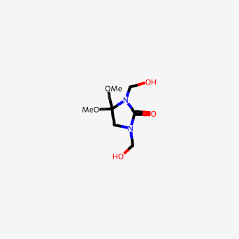 COC1(OC)CN(CO)C(=O)N1CO